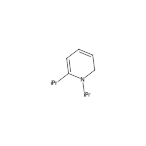 CC(C)C1=CC=CCN1C(C)C